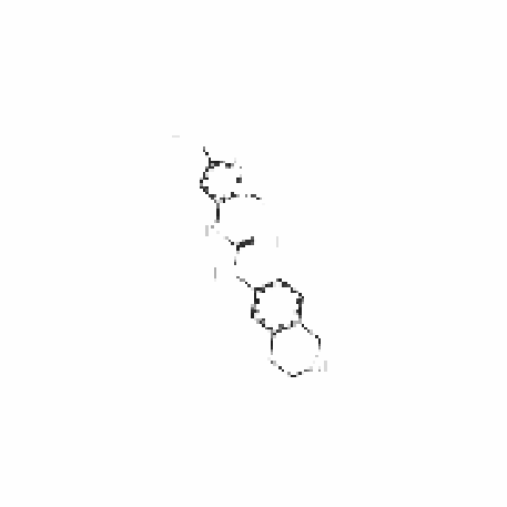 Cc1cc(NC(=O)Nc2ccc3c(c2)CCNC3)n(C)n1.Cl